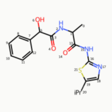 CC(NC(=O)C(O)c1ccccc1)C(=O)Nc1ncc(C(C)C)s1